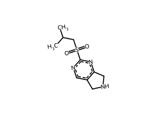 CC(C)CS(=O)(=O)c1ncc2c(n1)CNC2